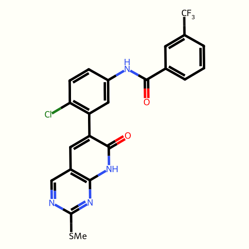 CSc1ncc2cc(-c3cc(NC(=O)c4cccc(C(F)(F)F)c4)ccc3Cl)c(=O)[nH]c2n1